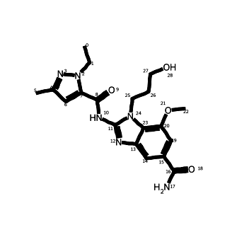 CCn1nc(C)cc1C(=O)Nc1nc2cc(C(N)=O)cc(OC)c2n1CCCO